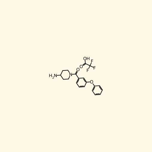 NC1CCN(C(=O)c2cccc(Oc3ccccc3)c2)CC1.O=C(O)C(F)(F)F